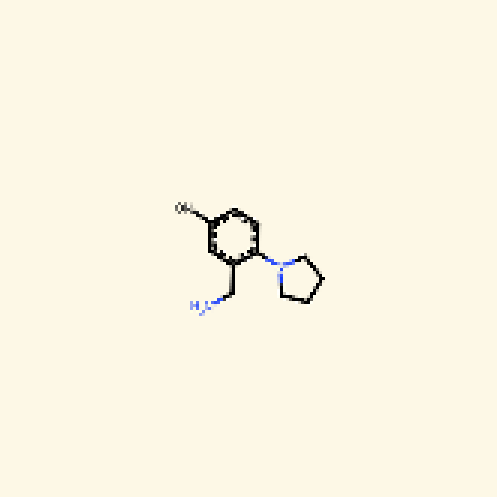 NCc1cc(N=O)ccc1N1CCCC1